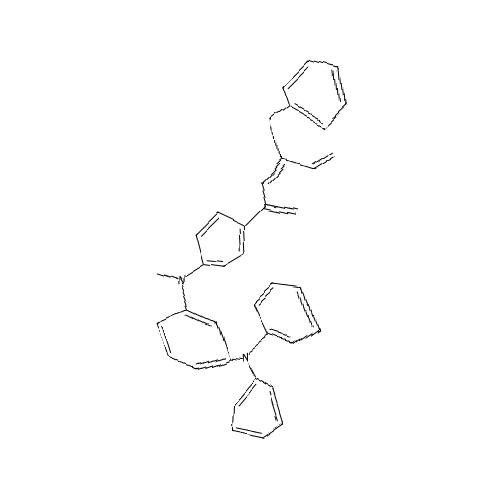 C=C/C(=C\C(=C)c1ccc(N(C)c2cccc(N(c3ccccc3)c3ccccc3)c2)cc1)Cc1ccccc1